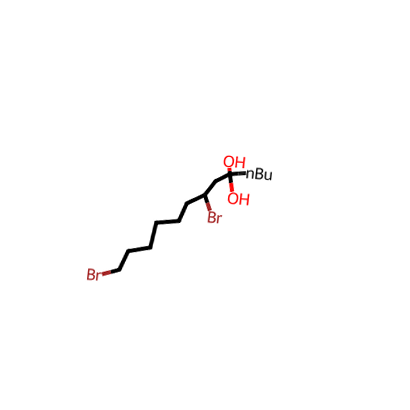 CCCCC(O)(O)CC(Br)CCCCCCBr